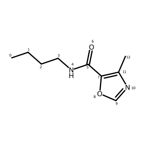 CCCCNC(=O)c1ocnc1C